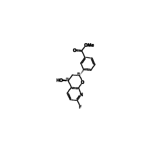 COC(=O)c1cccc([C@H]2C[C@H](O)c3ccc(F)nc3O2)c1